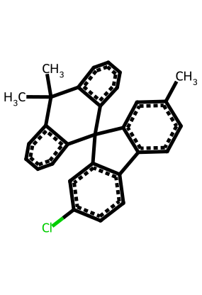 Cc1ccc2c(c1)C1(c3cc(Cl)ccc3-2)c2ccccc2C(C)(C)c2ccccc21